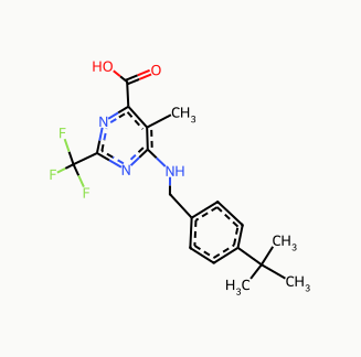 Cc1c(NCc2ccc(C(C)(C)C)cc2)nc(C(F)(F)F)nc1C(=O)O